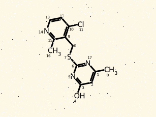 Cc1cc(O)nc(SCc2c(Cl)ccnc2C)n1